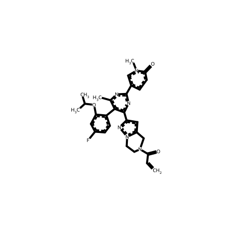 C=CC(=O)N1CCn2nc(-c3nc(-c4ccc(=O)n(C)c4)nc(C)c3-c3ccc(F)cc3OC(C)C)cc2C1